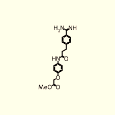 COC(=O)COc1ccc(NC(=O)CCc2ccc(C(=N)N)cc2)cc1